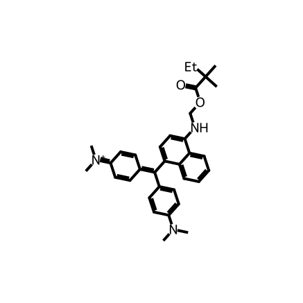 CCC(C)(C)C(=O)OCNc1ccc(C(=C2C=CC(=[N+](C)C)C=C2)c2ccc(N(C)C)cc2)c2ccccc12